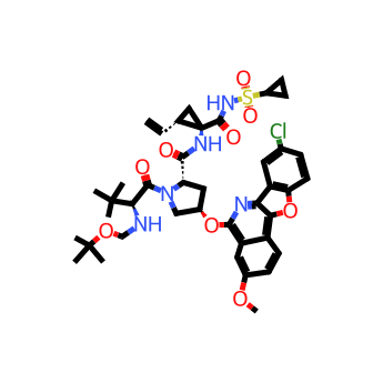 C=C[C@@H]1C[C@]1(NC(=O)[C@@H]1C[C@@H](Oc2nc3c4cc(Cl)ccc4oc3c3ccc(OC)cc23)CN1C(=O)[C@@H](NCOC(C)(C)C)C(C)(C)C)C(=O)NS(=O)(=O)C1CC1